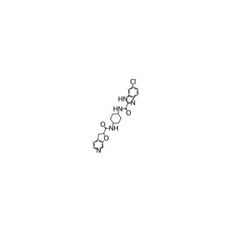 O=C(NC1CCC(NC(=O)C2Cc3ccncc3O2)CC1)c1nc2ccc(Cl)cc2[nH]1